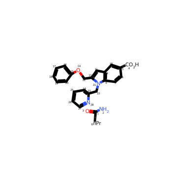 CCCC(N)=O.O=C(O)c1ccc2c(c1)cc(COc1ccccc1)n2Cc1ccccn1